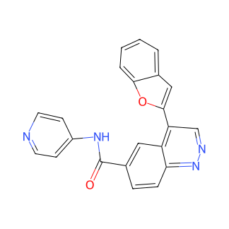 O=C(Nc1ccncc1)c1ccc2nncc(-c3cc4ccccc4o3)c2c1